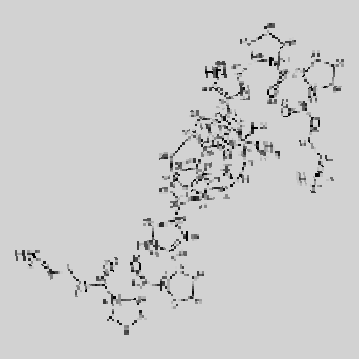 C=CCOC(=O)N1CCC[C@H]1C(=O)N1CCC[C@H]1c1nc(-c2ccc(-c3cc4ccc3CCc3ccc(c(-c5ccc(-c6c[nH]c([C@@H]7CCCN7C(=O)[C@@H]7CCCN7C(=O)OCC=C)n6)cc5)c3)C[C@H]4C)cc2)c[nH]1